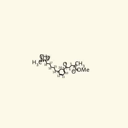 COC(=O)[C@@H](C)CCC(=O)C1=CC=CC(CCCCCC(=O)N(C)C)C1